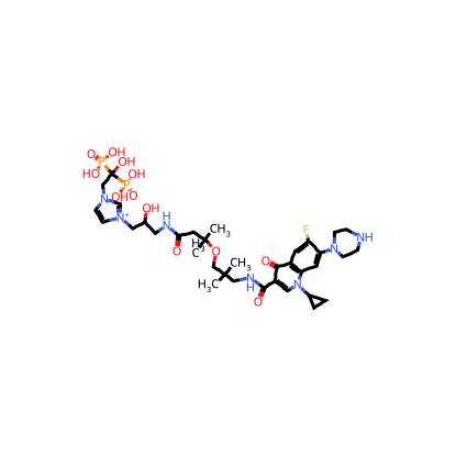 CC(C)(CNC(=O)c1cn(C2CC2)c2cc(N3CCNCC3)c(F)cc2c1=O)COC(C)(C)CC(=O)NCC(O)C[n+]1ccn(CC(O)(P(=O)(O)O)P(=O)(O)O)c1